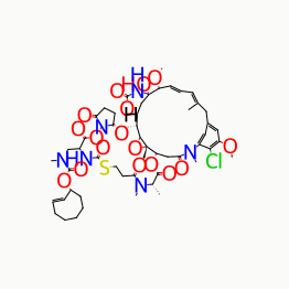 COc1cc2cc(c1Cl)N(C)C(=O)C[C@H](OC(=O)[C@H](C)N(C)C(=O)CCSC(=O)NC(CN(C)C(=O)OC1/C=C/CCCCC1)C(=O)ON1C(=O)CCC1=O)[C@]1(C)OC1[C@H](C)[C@@H]1C[C@@](O)(NC(=O)O1)[C@H](OC)/C=C/C=C(\C)C2